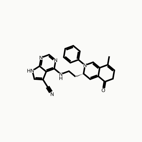 CC1=CCC(=O)C2=C[C@H](CCNc3ncnc4[nH]cc(C#N)c34)N(c3ccccc3)C=C12